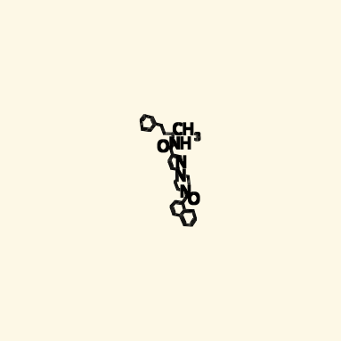 CC(CCc1ccccc1)NC(=O)c1ccc(N2CCN(C(=O)c3cccc4ccccc34)CC2)nc1